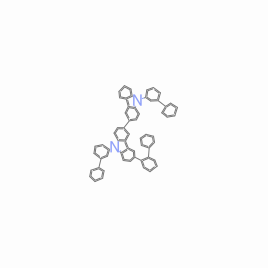 c1ccc(-c2cccc(-n3c4ccccc4c4cc(-c5ccc6c(c5)c5cc(-c7ccccc7-c7ccccc7)ccc5n6-c5cccc(-c6ccccc6)c5)ccc43)c2)cc1